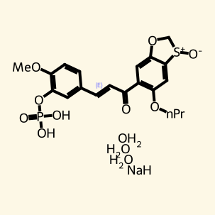 CCCOc1cc2c(cc1C(=O)/C=C/c1ccc(OC)c(OP(=O)(O)O)c1)OC[S+]2[O-].O.O.O.[NaH]